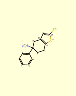 NC1(c2ccccc2)CCc2sc(F)cc2C1